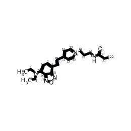 CCN(CC)c1ccc(/C=C/c2cc[n+](CCCNC(=O)CI)cc2)c2nonc12